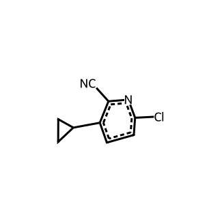 N#Cc1nc(Cl)ccc1C1CC1